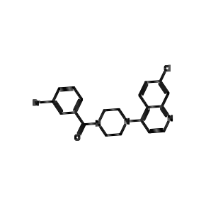 O=C(c1cccc(Br)c1)N1CCN(c2ccnc3cc(Cl)ccc23)CC1